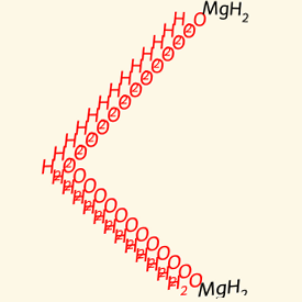 O.O.O.O.O.O.O.O.O.O.O.O.O.O.O.O.O.O.O.O.O.O.O.O.O.[MgH2].[MgH2]